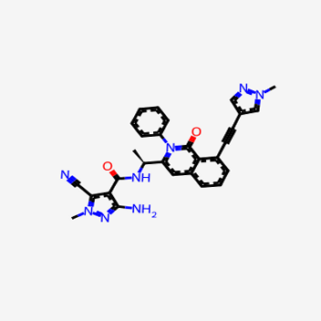 C[C@H](NC(=O)c1c(N)nn(C)c1C#N)c1cc2cccc(C#Cc3cnn(C)c3)c2c(=O)n1-c1ccccc1